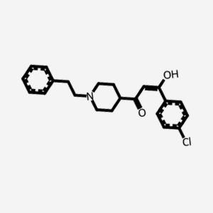 O=C(/C=C(/O)c1ccc(Cl)cc1)C1CCN(CCc2ccccc2)CC1